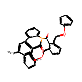 COc1cc(OC)c(C(=O)P(C(=O)c2c(COc3ccccc3)cccc2COc2ccccc2)c2ccccc2)c(OC)c1